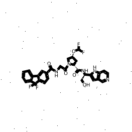 O=C(NCC(=O)N1C[C@H](OC(F)F)C[C@@H]1C(=O)N[C@H](CO)c1cc2cnccc2[nH]1)c1ccc2c(c1)-c1ccccc1C2(F)F